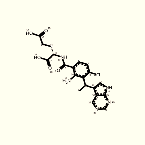 CC(c1c(Cl)ccc(C(=O)N[C@@H](CCC(=O)O)C(=O)O)c1N)c1c[nH]c2ncncc12